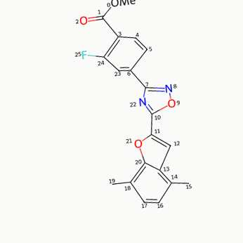 COC(=O)c1ccc(-c2noc(-c3cc4c(C)ccc(C)c4o3)n2)cc1F